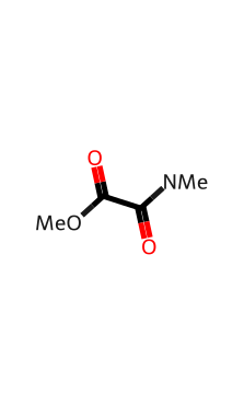 CNC(=O)C(=O)OC